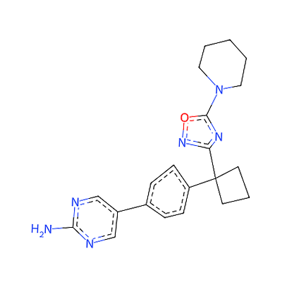 Nc1ncc(-c2ccc(C3(c4noc(N5CCCCC5)n4)CCC3)cc2)cn1